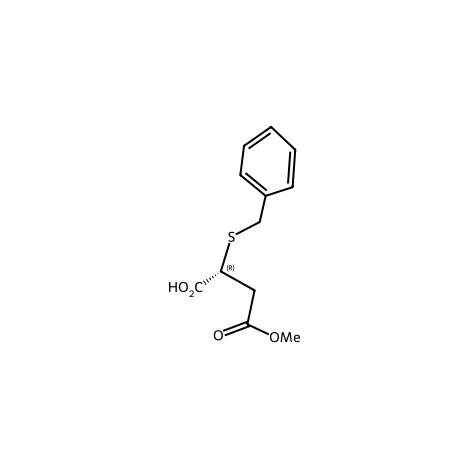 COC(=O)C[C@@H](SCc1ccccc1)C(=O)O